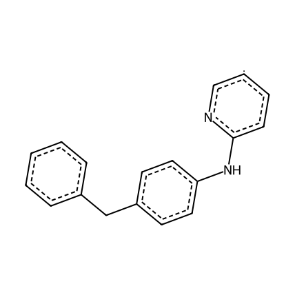 [c]1ccc(Nc2ccc(Cc3ccccc3)cc2)nc1